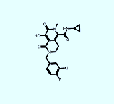 Cn1c(C(=O)NC2CC2)c2c(c(O)c1=O)C(=O)N(Cc1ccc(F)c(Cl)c1)CC2